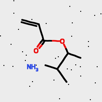 C=CC(=O)OC(C)C(C)C.N